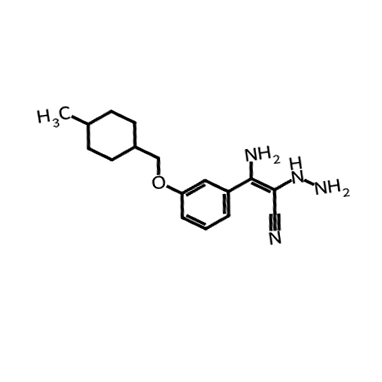 CC1CCC(COc2cccc(/C(N)=C(\C#N)NN)c2)CC1